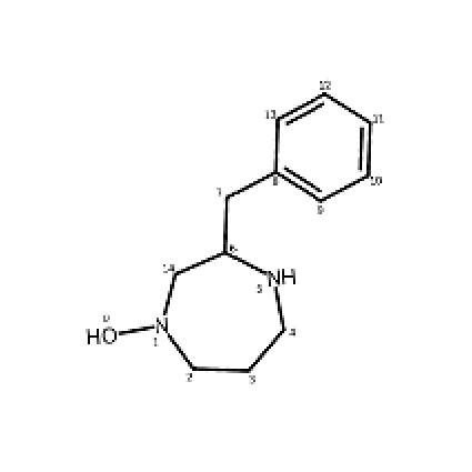 ON1CCCNC(Cc2ccccc2)C1